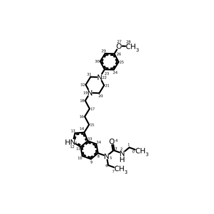 CCNC(=O)N(CC)c1ccc2[nH]cc(CCCCN3CCN(c4ccc(OC)cc4)CC3)c2c1